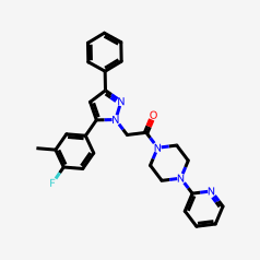 Cc1cc(-c2cc(-c3ccccc3)nn2CC(=O)N2CCN(c3ccccn3)CC2)ccc1F